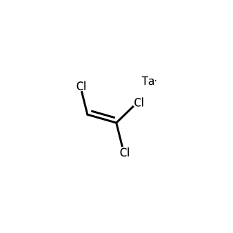 ClC=C(Cl)Cl.[Ta]